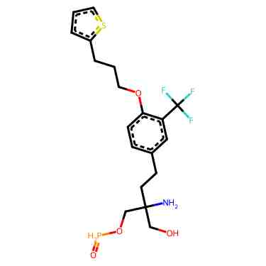 NC(CO)(CCc1ccc(OCCCc2cccs2)c(C(F)(F)F)c1)CO[PH2]=O